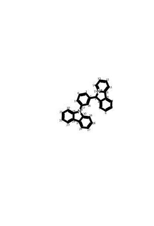 c1cc(C2c3ccccc3-c3cccc[n+]32)cc(-n2c3ccccc3c3ccccc32)c1